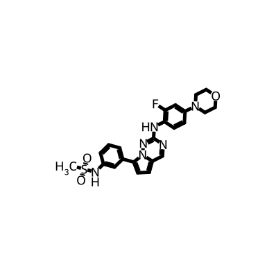 CS(=O)(=O)Nc1cccc(-c2ccc3cnc(Nc4ccc(N5CCOCC5)cc4F)nn23)c1